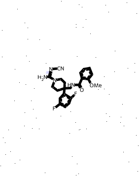 COc1ccccc1C(=O)NCC1(c2cc(F)ccc2F)CCN(/C(N)=N\C#N)CC1